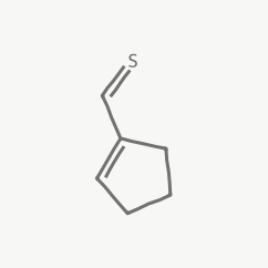 S=CC1=CCCC1